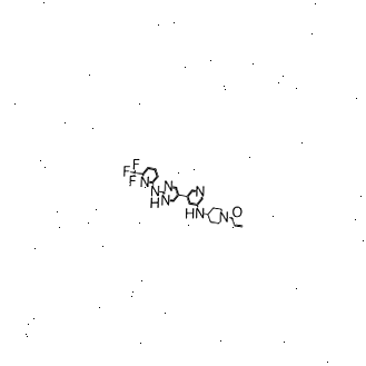 C=CC(=O)N1CCC(Nc2cncc(-c3cnc(Nc4cccc(C(F)(F)F)n4)nc3)c2)CC1